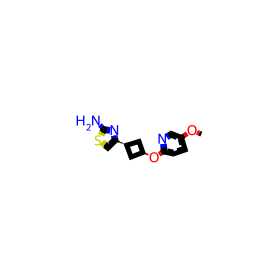 COc1ccc(O[C@H]2C[C@@H](c3csc(N)n3)C2)nc1